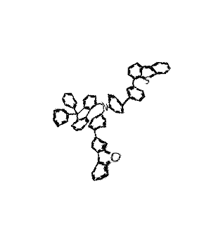 c1ccc(C2(c3ccccc3)c3ccccc3-c3c(N(c4ccc(-c5cccc(-c6cccc7c6sc6ccccc67)c5)cc4)c4ccc(-c5ccc6c(c5)oc5ccccc56)cc4)cccc32)cc1